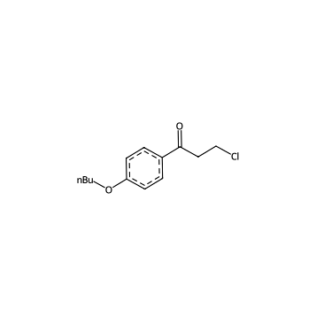 CCCCOc1ccc(C(=O)CCCl)cc1